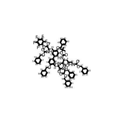 CC(C)(C)OC(=O)N[C@@H](C[C@@H](O)CNC(=O)OCc1ccccc1)C(=O)N[C@@H](Cc1cc(-c2ccc(OCc3ccccc3)c(C[C@H](NC(=O)OCc3ccccc3)C(=O)Oc3c(F)c(F)c(F)c(F)c3F)c2)ccc1OCc1ccccc1)C(=O)N[C@@H](Cc1ccccc1)C(=O)OCc1ccccc1